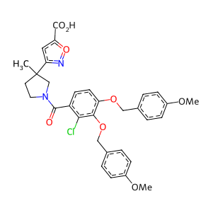 COc1ccc(COc2ccc(C(=O)N3CCC(C)(c4cc(C(=O)O)on4)C3)c(Cl)c2OCc2ccc(OC)cc2)cc1